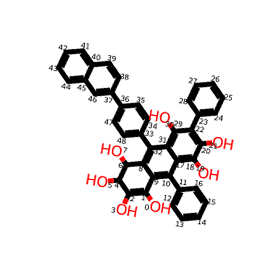 OC1=C(O)C(O)C(O)c2c1c(-c1ccccc1)c1c(O)c(O)c(-c3ccccc3)c(O)c1c2-c1ccc(-c2ccc3ccccc3c2)cc1